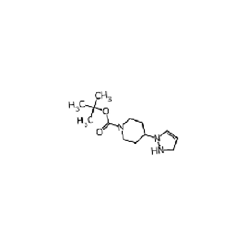 CC(C)(C)OC(=O)N1CCC(N2C=CCN2)CC1